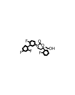 O=C1O[C@@](CCO)(c2ccccc2F)CCN1c1ccc(F)c(-c2ccc(F)cc2F)c1